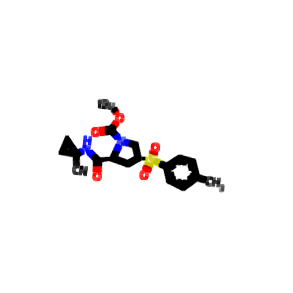 Cc1ccc(S(=O)(=O)[C@@H]2C[C@@H](C(=O)NC3(C#N)CC3)N(C(=O)OC(C)(C)C)C2)cc1